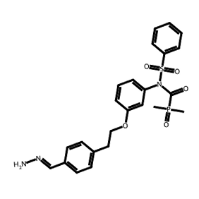 CP(C)(=O)C(=O)N(c1cccc(OCCc2ccc(C=NN)cc2)c1)S(=O)(=O)c1ccccc1